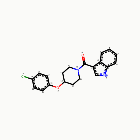 O=C(c1c[nH]c2ccccc12)N1CCC(Oc2ccc(Cl)cc2)CC1